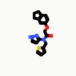 O=C(COc1ccc2c(c1)CCC2)N(Cc1cccs1)c1cc[nH]n1